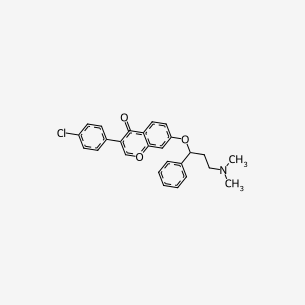 CN(C)CCC(Oc1ccc2c(=O)c(-c3ccc(Cl)cc3)coc2c1)c1ccccc1